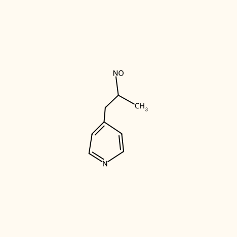 CC(Cc1ccncc1)N=O